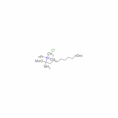 CCCCCCCCCCCCCCCCCC([SiH3])(OC)[N+](C)(C)CCC.[Cl-]